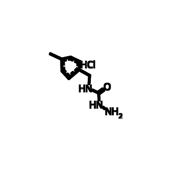 Cc1ccc(CNC(=O)NN)cc1.Cl